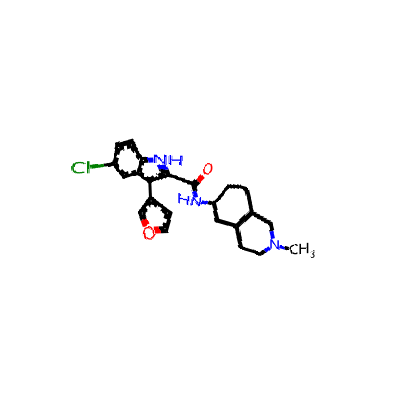 CN1CCC2CC(NC(=O)c3[nH]c4ccc(Cl)cc4c3-c3ccoc3)CCC2C1